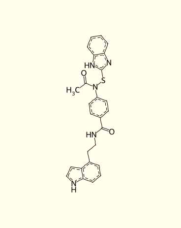 CC(=O)N(Sc1nc2ccccc2[nH]1)c1ccc(C(=O)NCCc2cccc3[nH]ccc23)cc1